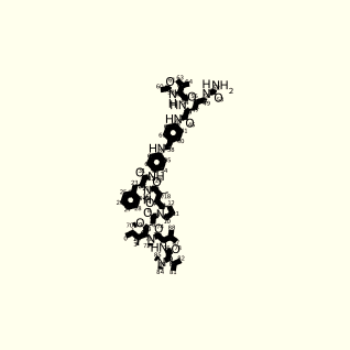 CC[C@H](C)[C@@H]([C@@H](CC(=O)N1CCC[C@H]1[C@H](OC)[C@@H](C)C(=O)N[C@@H](Cc1ccccc1)C(=O)Nc1ccc(NCc2ccc(NC(=O)[C@H](CCCNC(N)=O)NC(=O)[C@@H](NC(C)=O)C(C)C)cc2)cc1)OC)N(C)C(=O)C(NC(=O)[C@H](C(C)C)N(C)C)C(C)C